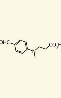 CN(CCC(=O)O)c1ccc(C=O)cc1